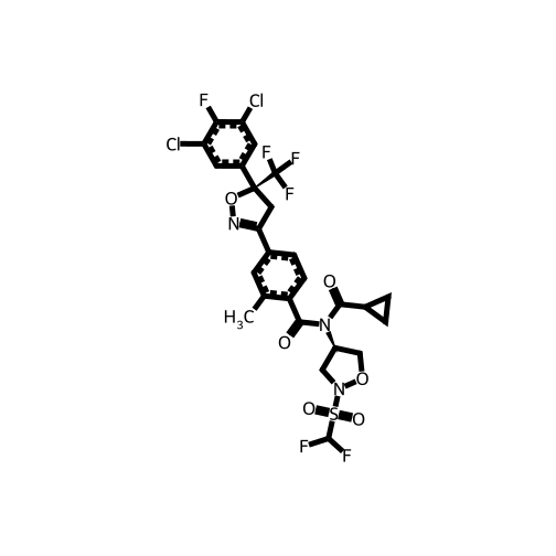 Cc1cc(C2=NO[C@@](c3cc(Cl)c(F)c(Cl)c3)(C(F)(F)F)C2)ccc1C(=O)N(C(=O)C1CC1)[C@H]1CON(S(=O)(=O)C(F)F)C1